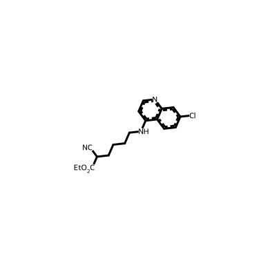 CCOC(=O)C(C#N)CCCCNc1ccnc2cc(Cl)ccc12